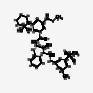 CCNc1cc(C(=O)N[C@@H](Cc2ccccc2)[C@@H](O)CNCc2cc(C)cc(S(C)(=O)=O)c2)cc(N2CCCCS2(O)O)c1